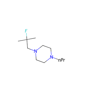 CCCN1CCN(CC(C)(C)F)CC1